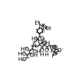 CCn1c[n+](CC)c2ccc(C(=O)NCCN(C[C@H](O)[C@@H](O)[C@H](O)[C@H](O)CO)C[C@H](O)[C@@H](O)[C@H](O)[C@H](O)CO)cc21.O=C([O-])C(F)(F)F